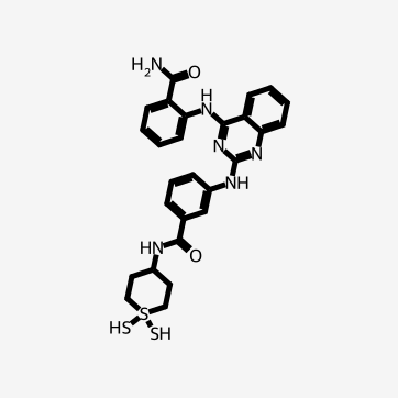 NC(=O)c1ccccc1Nc1nc(Nc2cccc(C(=O)NC3CCS(S)(S)CC3)c2)nc2ccccc12